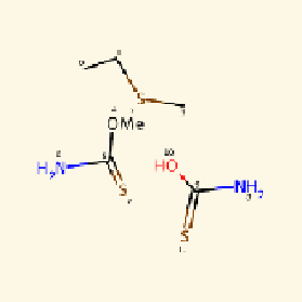 CCSC.COC(N)=S.NC(O)=S